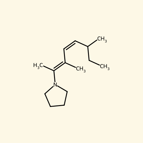 CCC(C)/C=C\C(C)=C(/C)N1CCCC1